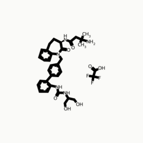 CC(C)(N)CC(=O)N[C@@H]1CCc2ccccc2N(Cc2ccc(-c3ccccc3NC(=O)NC(CO)CO)cc2)C1=O.O=C(O)C(F)(F)F